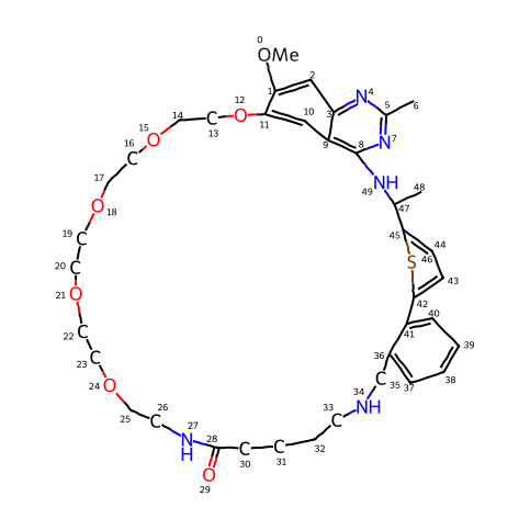 COc1cc2nc(C)nc3c2cc1OCCOCCOCCOCCOCCNC(=O)CCCCNCc1ccccc1-c1ccc(s1)C(C)N3